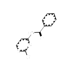 O=C(Nc1ccnc(Cl)n1)c1ccccc1